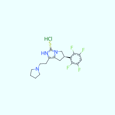 Cl.Fc1cc(F)c(F)c([C@H]2Cc3c(CCN4CCCC4)[nH]c(=S)n3C2)c1F